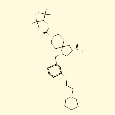 O=C(OC(C(F)(F)F)C(F)(F)F)N1CCC2(CCCN2Cc2cccc(OCCN3CCCCC3)c2)CC1.O=CO